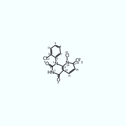 O=c1[nH]c(=O)n(-c2ccccc2Cl)c2c1C=CC(C(F)(F)F)N2Cl